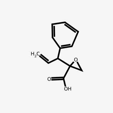 C=CC(c1ccccc1)C1(C(=O)O)CO1